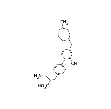 CN1CCCN(Cc2ccc(-c3ccc(CC(CN)C(=O)O)cc3)c(C#N)c2)CC1